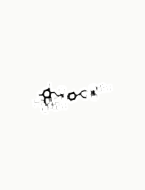 CCC(Cc1c(I)cc(I)c(NC(=O)OC(C)(C)C)c1I)C(=O)Oc1ccc(C2CCN(C(=O)OC(C)(C)C)CC2)cc1